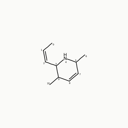 C/C=C\C1NC(C)C=CC1C